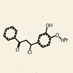 CCCOc1ccc(C(Cl)CC(=O)c2ccccc2)cc1O